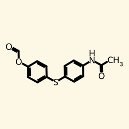 CC(=O)Nc1ccc(Sc2ccc(OC=O)cc2)cc1